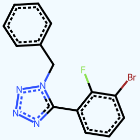 Fc1c(Br)cccc1-c1nnnn1Cc1ccccc1